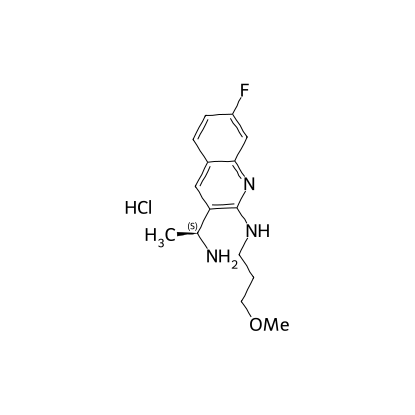 COCCCNc1nc2cc(F)ccc2cc1[C@H](C)N.Cl